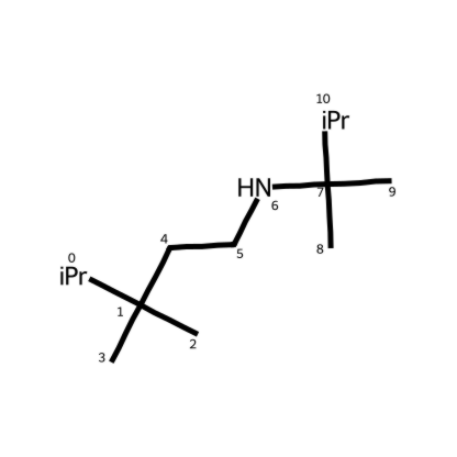 CC(C)C(C)(C)CCNC(C)(C)C(C)C